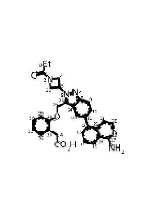 CCC(=O)N1CC(n2nc3ccc(-c4cccc5c(N)nccc45)cc3c2COc2ccccc2CC(=O)O)C1